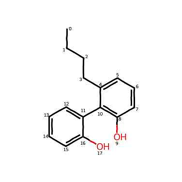 CCCCc1cccc(O)c1-c1ccccc1O